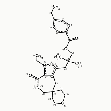 CCc1ccc(C(=O)OCC(C)(C)Cc2nn(CC)c3c2CC2(CCOCC2)CNC3=O)cc1